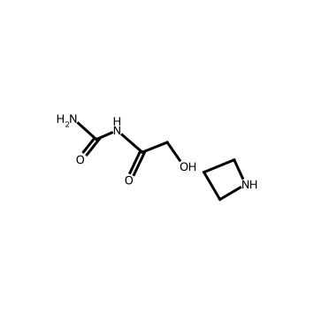 C1CNC1.NC(=O)NC(=O)CO